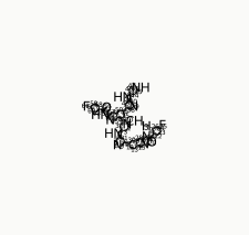 CN1CCC(Nc2cncc(-c3ccc4cnc(NC(=O)c5ccc(F)cc5)cc4c3)c2)CC1c1cc(-c2cncc(NC3CCNCC3)c2)cc2cc(NC(=O)c3ccc(F)cc3)ncc12